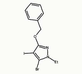 CCn1nc(OCc2ccccc2)c(I)c1Br